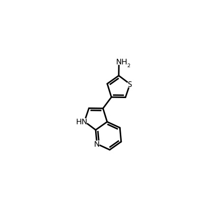 Nc1cc(-c2c[nH]c3ncccc23)cs1